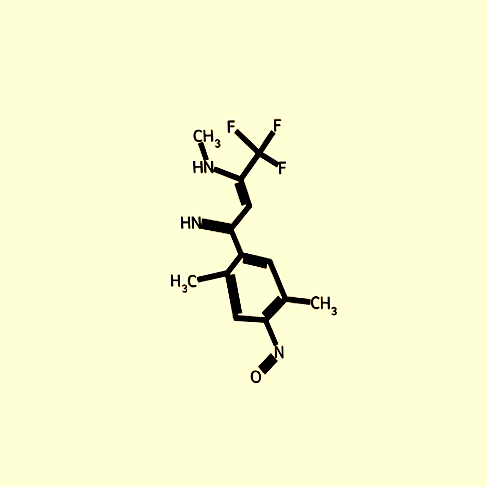 CN/C(=C\C(=N)c1cc(C)c(N=O)cc1C)C(F)(F)F